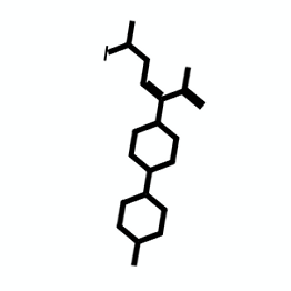 C=C(C)/C(=C\CC(C)I)C1CCC(C2CCC(C)CC2)CC1